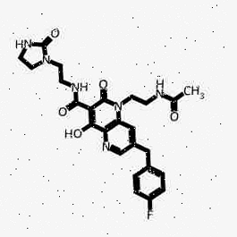 CC(=O)NCCn1c(=O)c(C(=O)NCCN2CCNC2=O)c(O)c2ncc(Cc3ccc(F)cc3)cc21